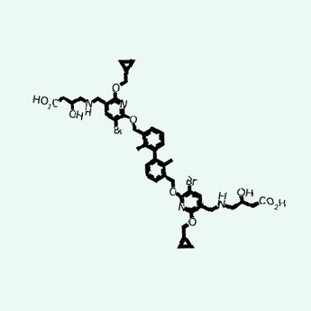 Cc1c(COc2nc(OCC3CC3)c(CNCC(O)CC(=O)O)cc2Br)cccc1-c1cccc(COc2nc(OCC3CC3)c(CNCC(O)CC(=O)O)cc2Br)c1C